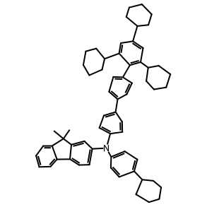 CC1(C)c2ccccc2-c2ccc(N(c3ccc(-c4ccc(-c5c(C6CCCCC6)cc(C6CCCCC6)cc5C5CCCCC5)cc4)cc3)c3ccc(C4CCCCC4)cc3)cc21